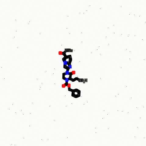 CNC(=O)c1ccc2nc(N3CCN(C(=O)OCc4ccccc4)C(CCC(=O)O)C3=O)cn2c1